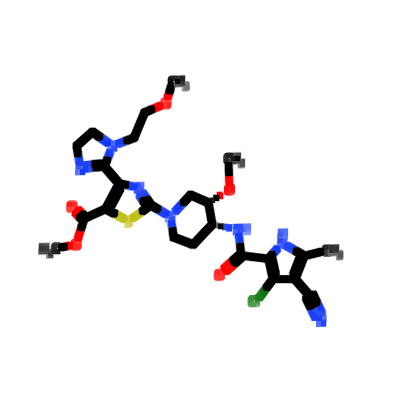 COCCN1CCN=C1c1nc(N2CC[C@@H](NC(=O)c3[nH]c(C)c(C#N)c3Cl)[C@@H](OC)C2)sc1C(=O)OC